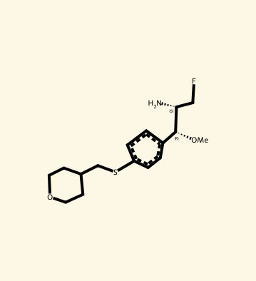 CO[C@H](c1ccc(SCC2CCOCC2)cc1)[C@H](N)CF